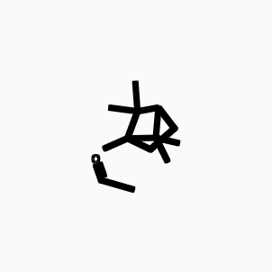 CC1(C)C2CCC1(C)C2(C)C.CC=O